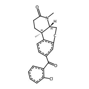 CN1C(=O)CC[C@]2(C)c3ccc(C(=O)c4ccccc4Cl)cc3CC[C@@H]12